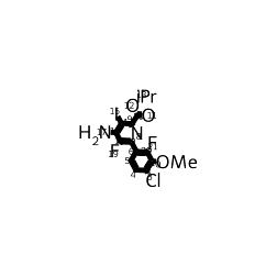 COc1c(Cl)ccc(-c2nc(C(=O)OC(C)C)c(I)c(N)c2F)c1F